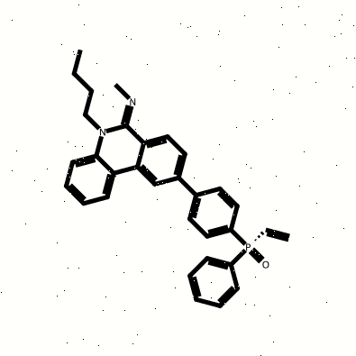 C=C[P@](=O)(c1ccccc1)c1ccc(-c2ccc3/c(=N/C)n(CCCC)c4ccccc4c3c2)cc1